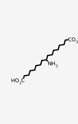 NC(CCCCCCCC(=O)O)CCCCCCCC(=O)O